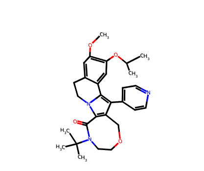 COc1cc2c(cc1OC(C)C)-c1c(-c3ccncc3)c3c(n1CC2)C(=O)N(C(C)(C)C)CCOC3